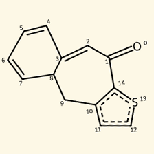 O=C1C=C2C=CC=CC2Cc2ccsc21